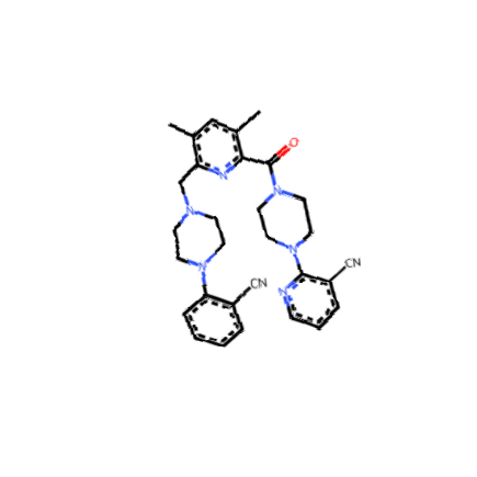 Cc1cc(C)c(C(=O)N2CCN(c3ncccc3C#N)CC2)nc1CN1CCN(c2ccccc2C#N)CC1